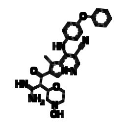 Cc1c(C(=O)C(C(=N)N)C2CN(O)CCO2)cn2ncc(C#N)c(Nc3ccc(Oc4ccccc4)cc3)c12